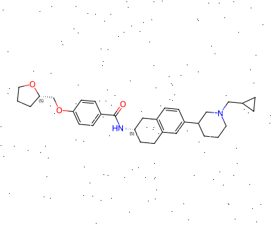 O=C(N[C@H]1CCc2cc(C3CCCN(CC4CC4)C3)ccc2C1)c1ccc(OC[C@@H]2CCCO2)cc1